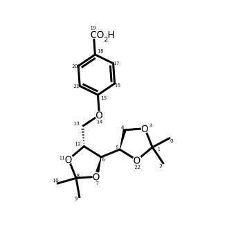 CC1(C)OC[C@H]([C@H]2OC(C)(C)O[C@@H]2COc2ccc(C(=O)O)cc2)O1